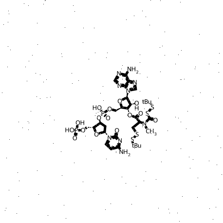 CN(C(=O)SSC(C)(C)C)C(CSSC(C)(C)C)C(=O)O[C@H]1[C@@H](O)[C@H](n2cnc3c(N)ncnc32)O[C@@H]1COP(=O)(O)O[C@H]1C[C@H](n2ccc(N)nc2=O)O[C@@H]1COP(=O)(O)O